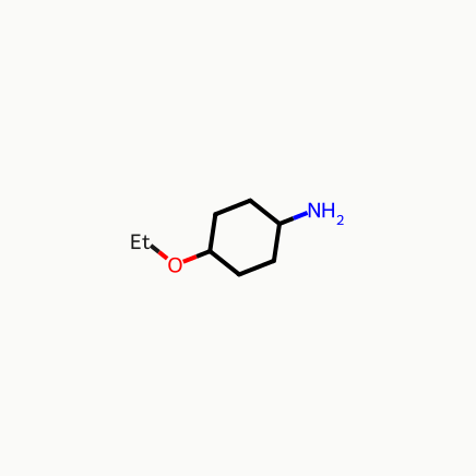 CCOC1CCC(N)CC1